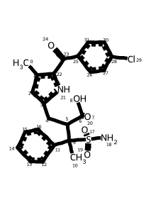 Cc1cc(CC(C(=O)O)C(C)(c2ccccc2)S(N)(=O)=O)[nH]c1C(=O)c1ccc(Cl)cc1